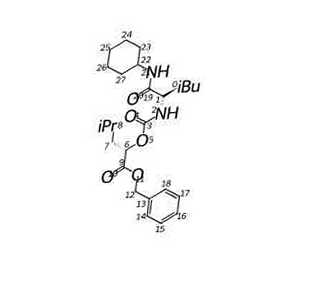 CC[C@H](C)[C@H](NC(=O)O[C@@H](CC(C)C)C(=O)OCc1ccccc1)C(=O)NC1CCCCC1